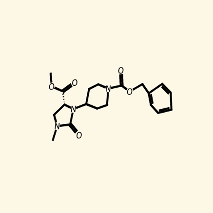 COC(=O)[C@H]1CN(C)C(=O)N1C1CCN(C(=O)OCc2ccccc2)CC1